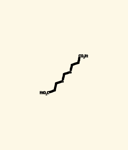 CCOC(=O)CCSCSCCC(=O)OCC